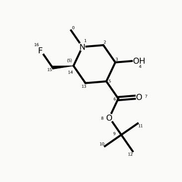 CN1CC(O)C(C(=O)OC(C)(C)C)C[C@H]1CF